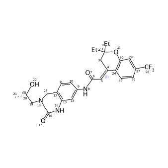 CCC1(CC)C/C(=C\C(=O)Nc2ccc3c(c2)NC(=O)N(C[C@H](C)O)C3)c2ccc(C(F)(F)F)cc2O1